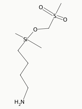 C[Si](C)(CCCCN)OCS(C)(=O)=O